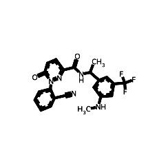 CNc1cc(C(C)NC(=O)c2ccc(=O)n(-c3ccccc3C#N)n2)cc(C(F)(F)F)c1